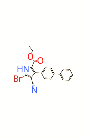 CCOC(=O)c1[nH]c(Br)c(C#N)c1-c1ccc(-c2ccccc2)cc1